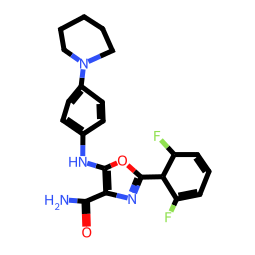 NC(=O)c1nc(C2C(F)=CC=CC2F)oc1Nc1ccc(N2CCCCC2)cc1